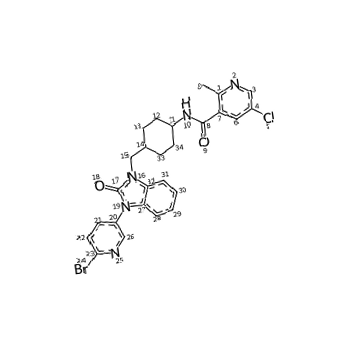 Cc1ncc(Cl)cc1C(=O)NC1CCC(Cn2c(=O)n(-c3ccc(Br)nc3)c3ccccc32)CC1